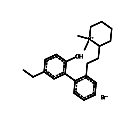 CCc1ccc(O)c(-c2ccccc2CCC2CCCC[N+]2(C)C)c1.[Br-]